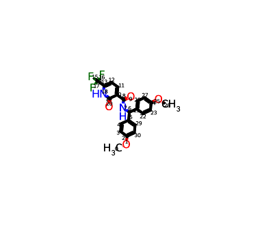 COc1ccc(C(NC(=O)c2ccc(C(F)(F)F)[nH]c2=O)c2ccc(OC)cc2)cc1